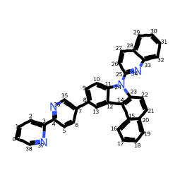 c1ccc(-c2ccc(-c3ccc4c(c3)c3c5ccccc5ccc3n4-c3ccc4ccccc4n3)cn2)nc1